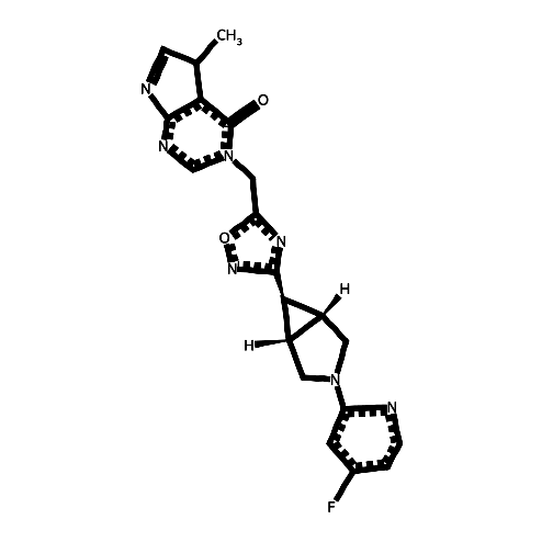 CC1C=Nc2ncn(Cc3nc([C@H]4[C@@H]5CN(c6cc(F)ccn6)C[C@@H]54)no3)c(=O)c21